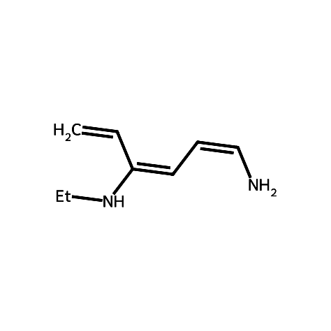 C=C/C(=C\C=C/N)NCC